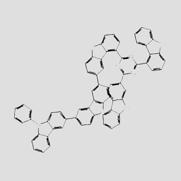 c1ccc(-n2c3ccccc3c3cc(-c4ccc5sc6ccc(-c7ccc8oc9cccc(-c%10nc(-c%11ccc%12c(c%11)oc%11ccccc%11%12)nc(-c%11cccc%12sc%13ccccc%13c%11%12)n%10)c9c8c7)cc6c5c4)ccc32)cc1